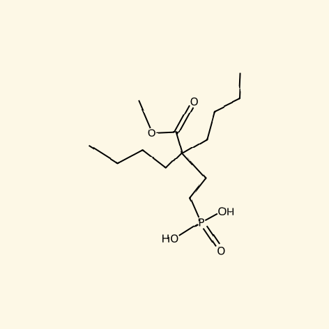 CCCCC(CCCC)(CCP(=O)(O)O)C(=O)OC